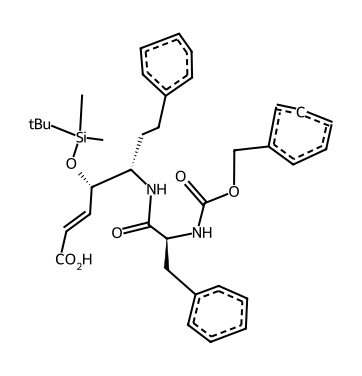 CC(C)(C)[Si](C)(C)O[C@@H](/C=C/C(=O)O)[C@H](CCc1ccccc1)NC(=O)[C@H](Cc1ccccc1)NC(=O)OCc1ccccc1